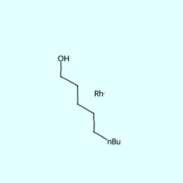 CCCCCCCCCO.[Rh]